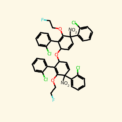 O=[N+]([O-])C1(c2ccccc2Cl)C=CC(OC2C=CC(c3ccccc3Cl)([N+](=O)[O-])C(OCCF)=C2c2ccccc2Cl)C(c2ccccc2Cl)=C1OCCF